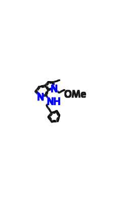 COCCn1c(C)cc2ccnc(NCc3ccccc3)c21